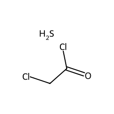 O=C(Cl)CCl.S